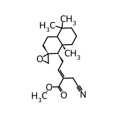 COC(=O)/C(=C/C[C@H]1[C@]2(CCC3C(C)(C)CCC[C@@]31C)CO2)CC#N